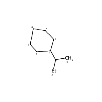 [CH2]C([CH]C)C1CCCCC1